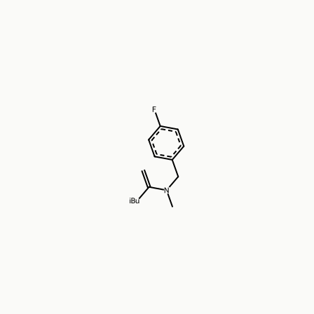 C=C(C(C)CC)N(C)Cc1ccc(F)cc1